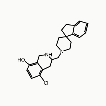 Oc1ccc(Cl)c2c1CNC(CN1CCC3(CCc4ccccc43)CC1)C2